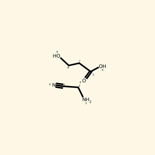 N#CCN.O=C(O)CCO